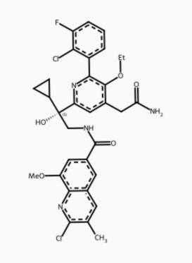 CCOc1c(CC(N)=O)cc([C@@](O)(CNC(=O)c2cc(OC)c3nc(Cl)c(C)cc3c2)C2CC2)nc1-c1cccc(F)c1Cl